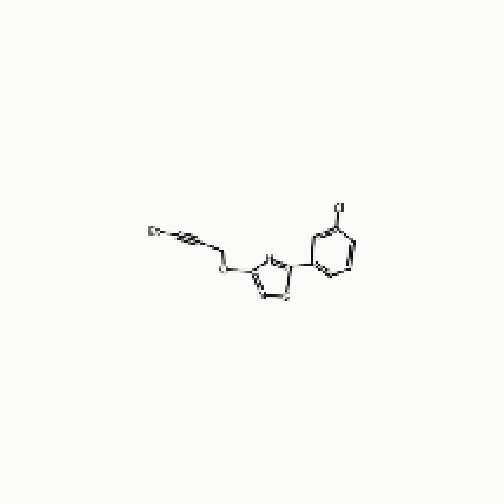 CCC#CCOc1nsc(-c2cccc(Cl)c2)n1